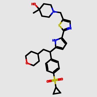 CC1(O)CCN(Cc2cnc(-c3ccc(C(CC4CCOCC4)c4ccc(S(=O)(=O)C5CC5)cc4)[nH]3)s2)CC1